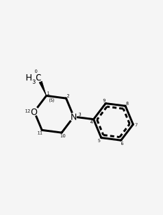 C[C@H]1CN(c2ccccc2)CCO1